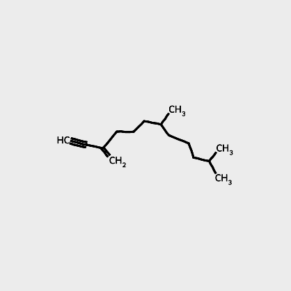 C#CC(=C)CCCC(C)CCCC(C)C